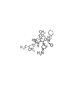 CCSC(C)(C)[C@@H](NC(=O)OCC(C)C)C(=O)N1C[C@H](N)C[C@H]1C(=O)NCC1CCCCC1